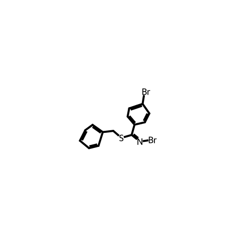 Br/N=C(/SCc1ccccc1)c1ccc(Br)cc1